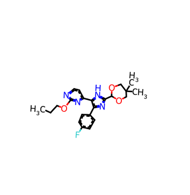 CCCOc1nccc(-c2[nH]c(C3OCC(C)(C)CO3)nc2-c2ccc(F)cc2)n1